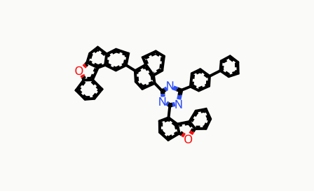 c1ccc(-c2ccc(-c3nc(-c4ccc(-c5ccc6ccc7oc8ccccc8c7c6c5)c5ccccc45)nc(-c4cccc5oc6ccccc6c45)n3)cc2)cc1